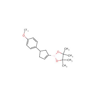 CC1(C)OB(C2=CCC(c3ccc(OC(F)(F)F)cc3)C2)OC1(C)C